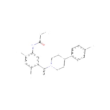 C=C(c1cc(NC(=O)CC(C)C)c(C)cc1C)N1CCC(c2ccc(C#N)cc2)CC1